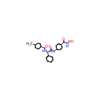 Cc1ccc(C(=O)NC(C(=O)Nc2ccc(C(=O)NO)cc2)c2ccccc2)cc1